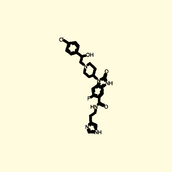 O=C(NCCc1c[nH]cn1)c1cc2[nH]c(=O)n(C3CCN(CC(O)c4ccc(Cl)cc4)CC3)c2cc1F